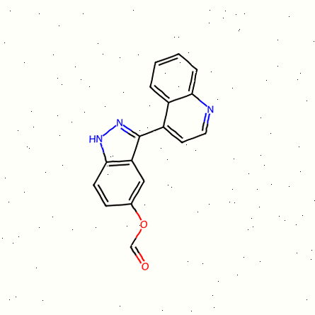 O=COc1ccc2[nH]nc(-c3ccnc4ccccc34)c2c1